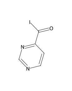 O=C(I)c1ccncn1